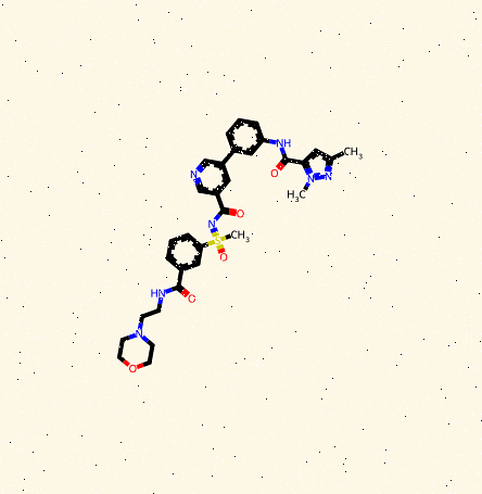 Cc1cc(C(=O)Nc2cccc(-c3cncc(C(=O)N=S(C)(=O)c4cccc(C(=O)NCCN5CCOCC5)c4)c3)c2)n(C)n1